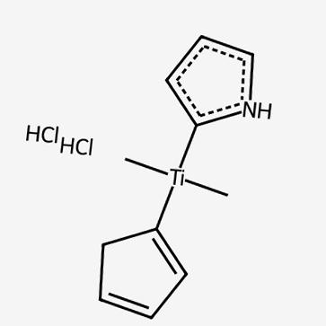 Cl.Cl.[CH3][Ti]([CH3])([C]1=CC=CC1)[c]1ccc[nH]1